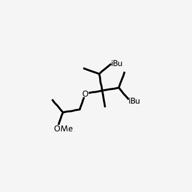 CCC(C)C(C)C(C)(OCC(C)OC)C(C)C(C)CC